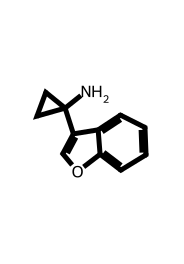 NC1(c2coc3ccccc23)CC1